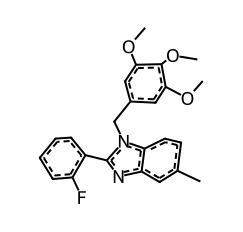 COc1cc(Cn2c(-c3ccccc3F)nc3cc(C)ccc32)cc(OC)c1OC